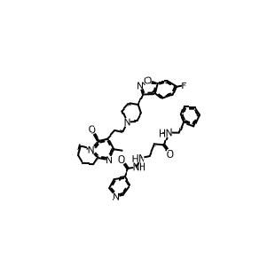 Cc1nc2n(c(=O)c1CCN1CCC(c3noc4cc(F)ccc34)CC1)CCCC2.O=C(CCNNC(=O)c1ccncc1)NCc1ccccc1